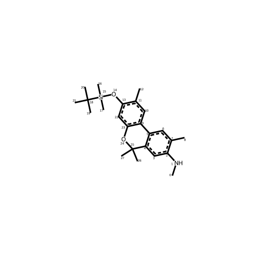 CNc1cc2c(cc1C)-c1cc(C)c(O[Si](C)(C)C(C)(C)C)cc1OC2(C)C